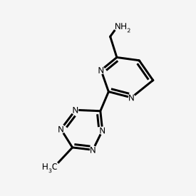 Cc1nnc(-c2nccc(CN)n2)nn1